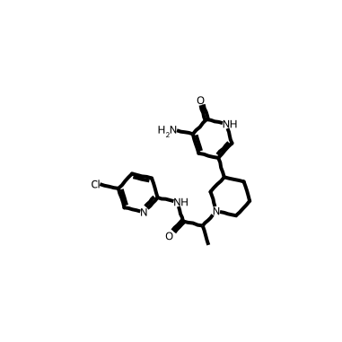 CC(C(=O)Nc1ccc(Cl)cn1)N1CCCC(c2c[nH]c(=O)c(N)c2)C1